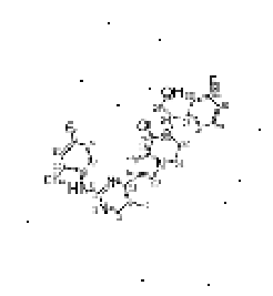 Cc1cnc(Nc2ccc(F)cc2Cl)nc1-c1cc2n(c1)CCN(C(CO)c1cccc(F)c1)C2=O